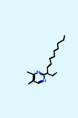 CCCCCCCCCC(CC)c1ncc(C)c(C)n1